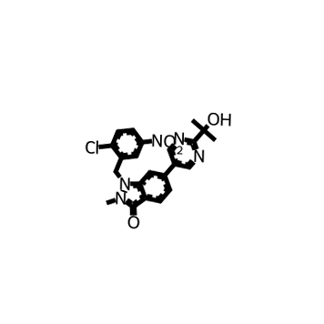 Cn1c(=O)c2ccc(-c3cnc(C(C)(C)O)nc3)cc2n1Cc1cc([N+](=O)[O-])ccc1Cl